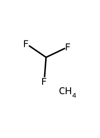 C.FC(F)F